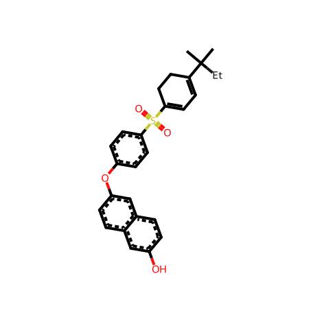 CCC(C)(C)C1=CC=C(S(=O)(=O)c2ccc(Oc3ccc4cc(O)ccc4c3)cc2)CC1